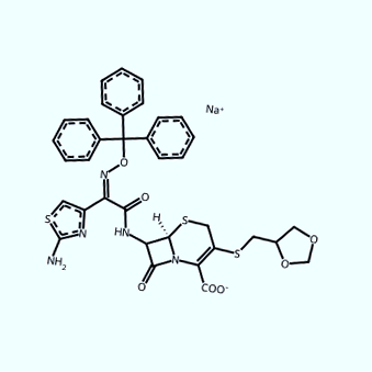 Nc1nc(/C(=N/OC(c2ccccc2)(c2ccccc2)c2ccccc2)C(=O)NC2C(=O)N3C(C(=O)[O-])=C(SCC4COCO4)CS[C@H]23)cs1.[Na+]